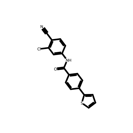 N#Cc1ccc(NC(=O)c2ccc(-c3cccs3)cc2)cc1Cl